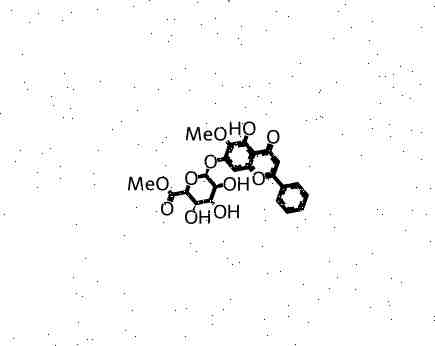 COC(=O)C1O[C@@H](Oc2cc3oc(-c4ccccc4)cc(=O)c3c(O)c2OC)C(O)[C@@H](O)[C@@H]1O